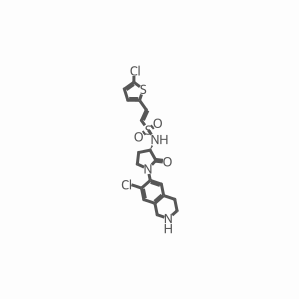 O=C1[C@@H](NS(=O)(=O)/C=C/c2ccc(Cl)s2)CCN1c1cc2c(cc1Cl)CNCC2